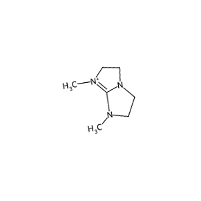 CN1CCN2CC[N+](C)=C12